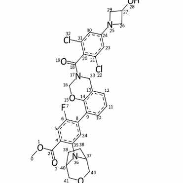 COC(=O)c1cc(F)c(-c2cccc3c2OCN(C(=O)c2c(Cl)cc(N4CC(O)C4)cc2Cl)C3)cc1N1C2CCC1COC2